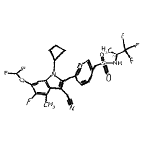 Cc1c(F)c(OC(F)F)cc2c1c(C#N)c(-c1ccc(S(=O)(=O)N[C@@H](C)C(F)(F)F)cn1)n2C1CCC1